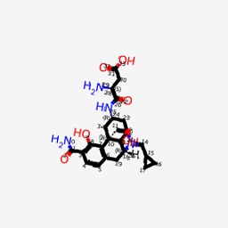 NC(=O)c1ccc2c(c1O)[C@]13CCN(CC4CC4)[C@H](C2)[C@]1(O)CC[C@@H](NC(=O)[C@@H](N)CC(=O)O)C3